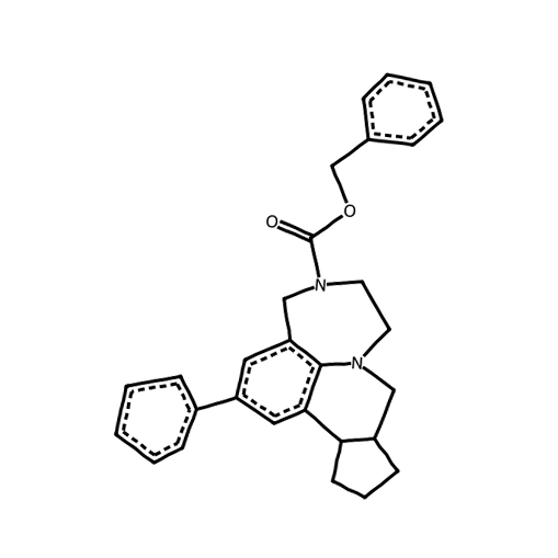 O=C(OCc1ccccc1)N1CCN2CC3CCCC3c3cc(-c4ccccc4)cc(c32)C1